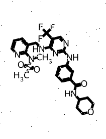 CN(c1ncccc1CNc1nc(Nc2cccc(C(=O)NC3CCOCC3)c2)ncc1C(F)(F)F)S(C)(=O)=O